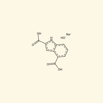 O=C(O)c1cc2c(C(=O)O)cccc2[nH]1.[Na+].[OH-]